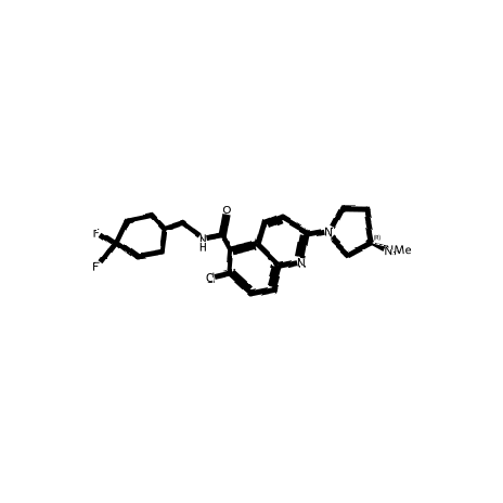 CN[C@@H]1CCN(c2ccc3c(C(=O)NCC4CCC(F)(F)CC4)c(Cl)ccc3n2)C1